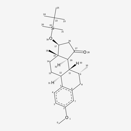 COc1ccc2c(c1)C[C@@H](C)[C@@H]1[C@@H]2CC[C@]2(C)[C@@H](O[Si](C)(C)C(C)(C)C)CC(=O)[C@@H]12